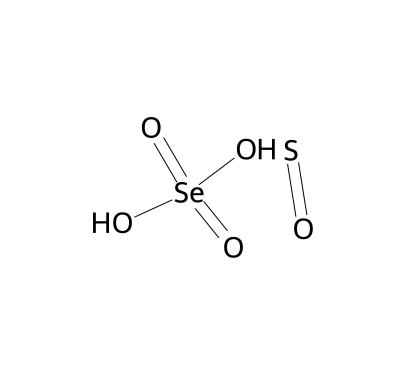 O=S.O=[Se](=O)(O)O